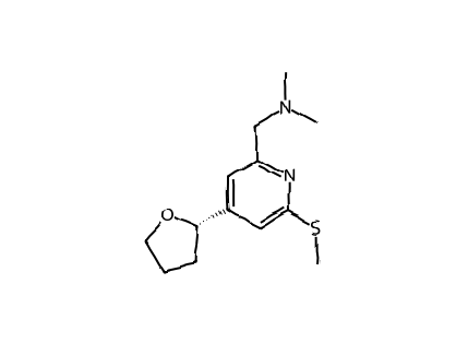 CSc1cc([C@@H]2CCCO2)cc(CN(C)C)n1